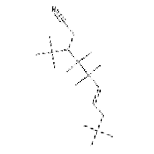 CC(C)(C)C/C=C/C(C)(C)C(C)(C)C(CC#N)C(C)(C)C